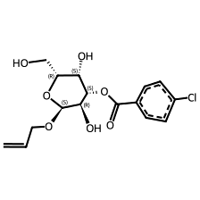 C=CCO[C@H]1O[C@H](CO)[C@H](O)[C@H](OC(=O)c2ccc(Cl)cc2)[C@H]1O